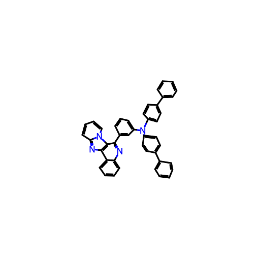 c1ccc(-c2ccc(N(c3ccc(-c4ccccc4)cc3)c3cccc(-c4nc5ccccc5c5nc6ccccn6c45)c3)cc2)cc1